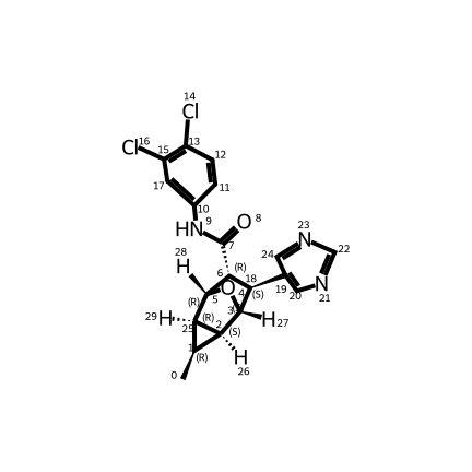 C[C@@H]1[C@@H]2[C@@H]3O[C@@H]([C@H](C(=O)Nc4ccc(Cl)c(Cl)c4)[C@H]3c3cncnc3)[C@H]12